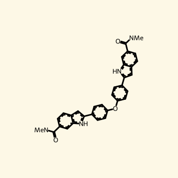 CNC(=O)c1ccc2cc(-c3ccc(Oc4ccc(-c5cc6ccc(C(=O)NC)cc6[nH]5)cc4)cc3)[nH]c2c1